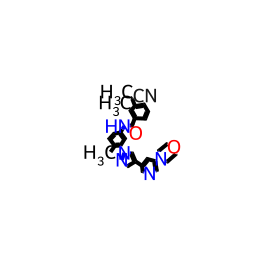 Cc1ccc(NC(=O)c2cccc(C(C)(C)C#N)c2)cc1-n1cc(-c2cncc(N3CCOCC3)c2)cn1